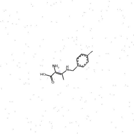 C/C(NCc1ccc(C)cc1)=C(/N)C(=O)O